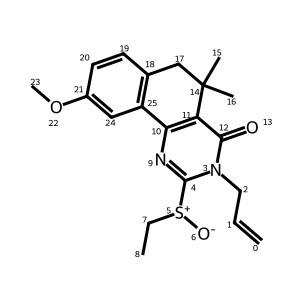 C=CCn1c([S+]([O-])CC)nc2c(c1=O)C(C)(C)Cc1ccc(OC)cc1-2